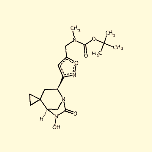 CN(Cc1cc([C@@H]2CC3(CC3)[C@H]3CN2C(=O)N3O)no1)C(=O)OC(C)(C)C